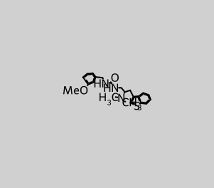 COc1cccc(CNC(=O)NCC(Cc2csc3ccccc23)N(C)C)c1